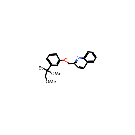 CCC(COC)(OC)c1cccc(OCc2ccc3ccccc3n2)c1